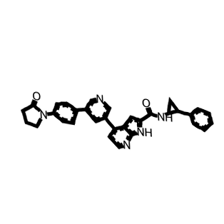 O=C(NC1CC1c1ccccc1)c1cc2c(-c3cncc(-c4ccc(N5CCCC5=O)cc4)c3)ccnc2[nH]1